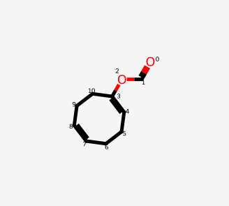 O=COC1=CCCC=CCC1